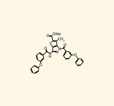 COC(=O)c1sc2c(NC(=O)c3cccc(Oc4ccccc4)c3)nn(C(=O)c3cccc(Oc4ccccc4)c3)c2c1C